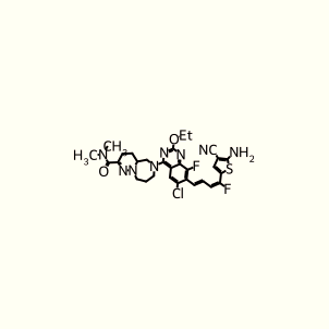 CCOc1nc(N2CCCN3N=C(C(=O)N(C)C)CCC3C2)c2cc(Cl)c(/C=C/C=C(/F)c3cc(C#N)c(N)s3)c(F)c2n1